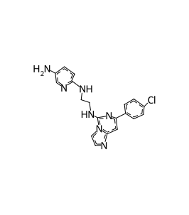 Nc1ccc(NCCNc2nc(-c3ccc(Cl)cc3)cc3nccn23)nc1